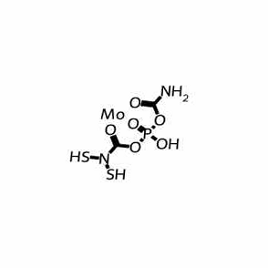 NC(=O)OP(=O)(O)OC(=O)N(S)S.[Mo]